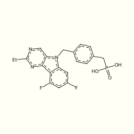 CCc1ncc2c(n1)c1c(F)cc(F)cc1n2Cc1ccc(CP(=O)(O)O)cc1